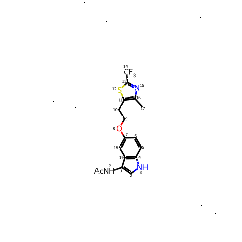 CC(=O)Nc1c[nH]c2ccc(OCCc3sc(C(F)(F)F)nc3C)cc12